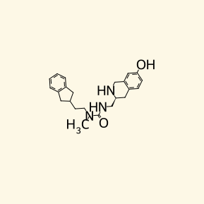 CN(CCC1Cc2ccccc2C1)C(=O)NC[C@@H]1Cc2ccc(O)cc2CN1